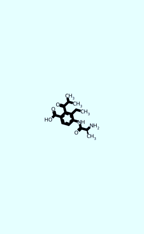 CCc1c(NC(=O)[C@H](C)N)ccc(C(=O)O)c1C(=O)C(C)C